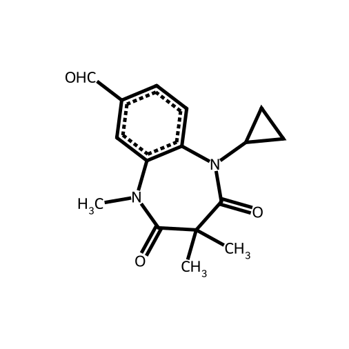 CN1C(=O)C(C)(C)C(=O)N(C2CC2)c2ccc(C=O)cc21